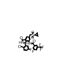 O=C(Nc1cc(CS(=O)(=O)C2CC2)cc2c1C(c1cc(F)ccc1Cl)NC2=O)c1cc(F)cc(C(F)(F)F)c1